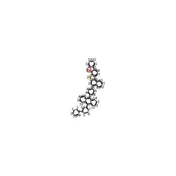 c1ccc(-c2cccc(-c3c4ccccc4c(-c4ccc(-c5cc6sc7c(ccc8c9ccccc9oc87)c6c6ccccc56)cc4)c4ccccc34)c2)cc1